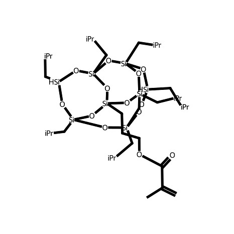 C=C(C)C(=O)OCCC[Si]12O[Si]3(CC(C)C)O[SiH](CC(C)C)O[Si](CC(C)C)(O[Si]4(CC(C)C)O[SiH](CC(C)C)O[Si](CC(C)C)(O3)O[Si](CC(C)C)(O4)O1)O2